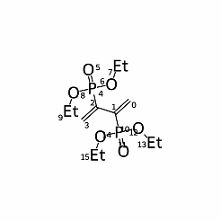 C=C(C(=C)P(=O)(OCC)OCC)P(=O)(OCC)OCC